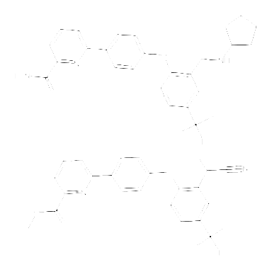 COC(=O)c1cccc(-c2ccc(Oc3ccc(C(F)(F)F)cc3C(O)C#N)cc2)n1.NC(=O)c1cccc(-c2ccc(Oc3ccc(C(F)(F)F)cc3CNC3CCCC3)cc2)n1